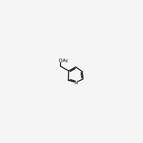 CC(=O)OCc1c[c]cnc1